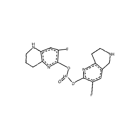 O=[PH](Oc1nc2c(cc1F)CNCC2)Oc1nc2c(cc1F)NCCC2